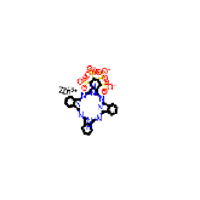 O=S(=O)([O-])c1c(S(=O)(=O)[O-])c(S(=O)(=O)[O-])c2c3nc4nc(nc5[nH]c(nc6nc(nc([nH]3)c2c1S(=O)(=O)[O-])-c1ccccc1-6)c1ccccc51)-c1ccccc1-4.[Zn+2].[Zn+2]